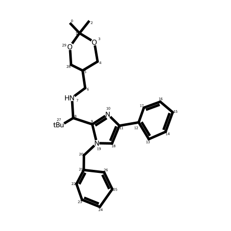 CC1(C)OCC(CNC(c2nc(-c3ccccc3)cn2Cc2ccccc2)C(C)(C)C)CO1